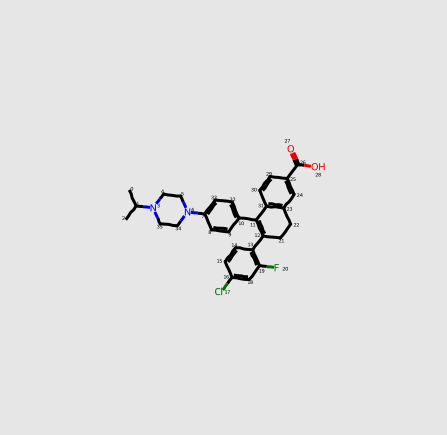 CC(C)N1CCN(c2ccc(C3=C(c4ccc(Cl)cc4F)CCc4cc(C(=O)O)ccc43)cc2)CC1